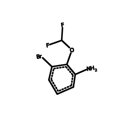 Nc1cccc(Br)c1OC(F)F